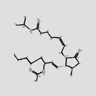 CCCCCC(/C=C/[C@H]1[C@H](C)CC(=O)[C@@H]1C/C=C\CCCC(=O)OC(C)C)OC(C)=O